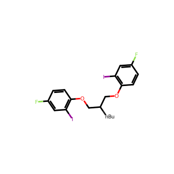 CCCCC(COc1ccc(F)cc1I)COc1ccc(F)cc1I